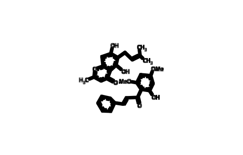 CC(C)=CCc1c(O)cc2oc(C)cc(=O)c2c1O.COc1cc(O)c(C(=O)C=Cc2ccccc2)c(OC)c1